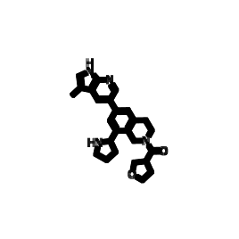 Cc1c[nH]c2ncc(-c3cc4c(c(C5CCCN5)c3)CN(C(=O)C3CCOC3)CC4)cc12